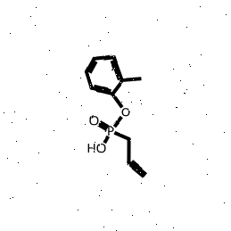 C=CCP(=O)(O)Oc1ccccc1C